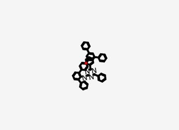 c1ccc(-c2cc(-c3ccccc3)cc(-c3ccc(-c4cccc5c6ccccc6n(-c6nc(-c7ccccc7)nc(-c7ccccc7)n6)c45)cc3)c2)cc1